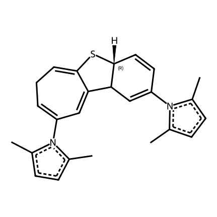 Cc1ccc(C)n1C1=CCC=C2S[C@@H]3C=CC(n4c(C)ccc4C)=CC3C2=C1